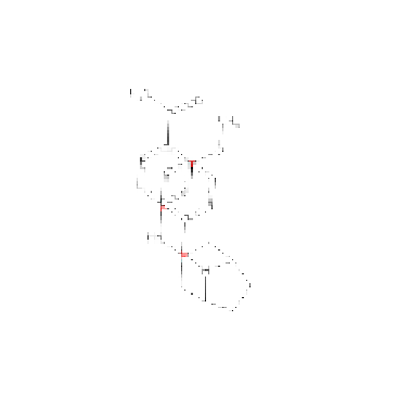 COc1cc(NC2CC3CCC(C2)N3Cc2ccccc2)ccc1C(N)=O